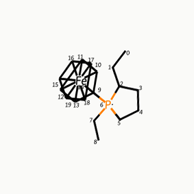 CCC1CCC[P]1(CC)[C]12[CH]3[CH]4[CH]5[CH]1[Fe]45321678[CH]2[CH]1[CH]6[CH]7[CH]28